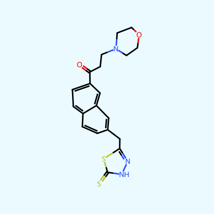 O=C(CCN1CCOCC1)c1ccc2ccc(Cc3n[nH]c(=S)s3)cc2c1